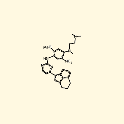 COc1cc(N(C)CCN(C)C)c([N+](=O)[O-])cc1Nc1nccc(-c2cn3c4c(cccc24)CCC3)n1